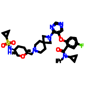 CC(C)N(C(=O)c1cc(F)ccc1Oc1cncnc1N1CC2(CCN(C[C@@H]3CC[C@@H](NS(=O)(=O)C4CC4)CO3)CC2)C1)C1CC1